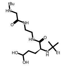 CCC(C)(C)N[C@@H](CCC(O)O)C(=O)NCCNC(=O)CNC(C)(C)C